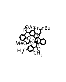 CCCCC(CC)Cn1c2ccc(/C(=N\OC(C)=O)c3ccccc3OC(C)COC)cc2c2cc(C(=O)c3c(C)cc(C)cc3C)c3ccccc3c21